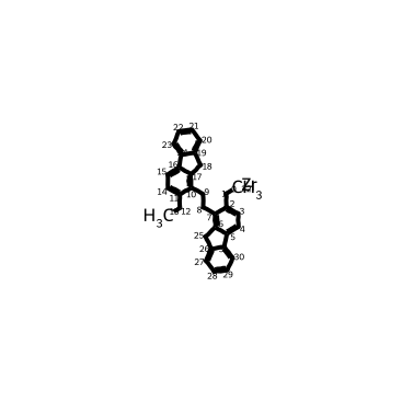 CCc1ccc2c(c1CCc1c(CC)ccc3c1Cc1ccccc1-3)Cc1ccccc1-2.[Zr]